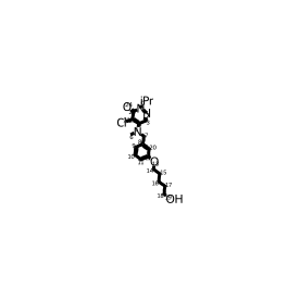 CC(C)n1ncc(N(C)Cc2cccc(OCCCCCO)c2)c(Cl)c1=O